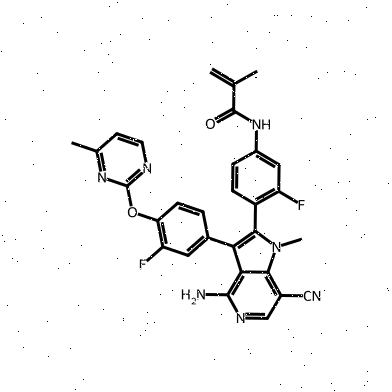 C=C(C)C(=O)Nc1ccc(-c2c(-c3ccc(Oc4nccc(C)n4)c(F)c3)c3c(N)ncc(C#N)c3n2C)c(F)c1